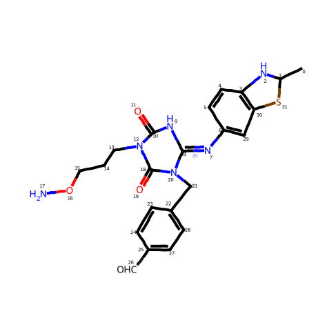 CC1Nc2ccc(/N=c3\[nH]c(=O)n(CCCON)c(=O)n3Cc3ccc(C=O)cc3)cc2S1